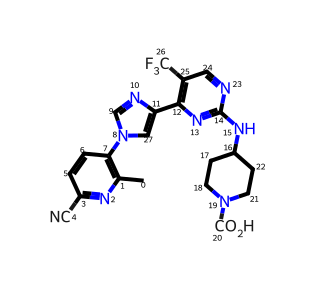 Cc1nc(C#N)ccc1-n1cnc(-c2nc(NC3CCN(C(=O)O)CC3)ncc2C(F)(F)F)c1